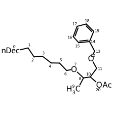 CCCCCCCCCCCCCCCCOC(C)C(COCc1ccccc1)OC(C)=O